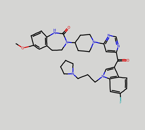 COc1ccc2c(c1)CCN(C1CCN(c3cc(C(=O)c4cn(CCCN5CCCC5)c5cc(F)ccc45)ncn3)CC1)C(=O)N2